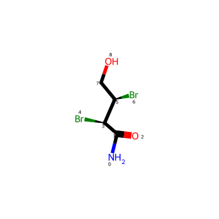 NC(=O)[C@@H](Br)[C@H](Br)CO